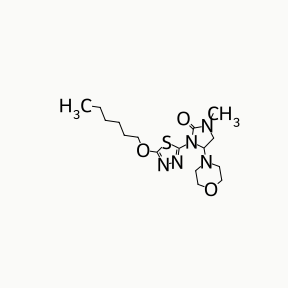 CCCCCCOc1nnc(N2C(=O)N(C)CC2N2CCOCC2)s1